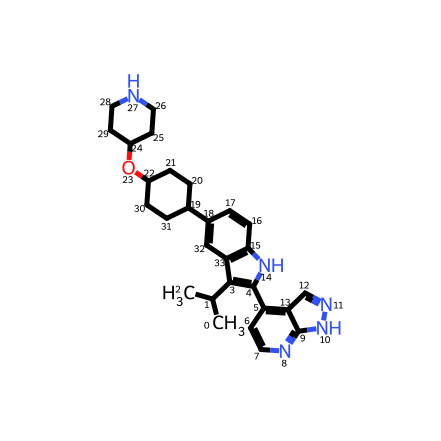 CC(C)c1c(-c2ccnc3[nH]ncc23)[nH]c2ccc(C3CCC(OC4CCNCC4)CC3)cc12